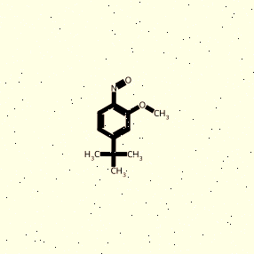 COc1cc(C(C)(C)C)ccc1N=O